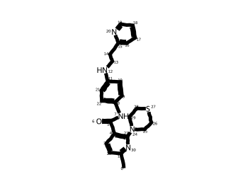 Cc1ccc(C(=O)Nc2ccc(NCCc3ccccn3)cc2)c(N2CCSCC2)n1